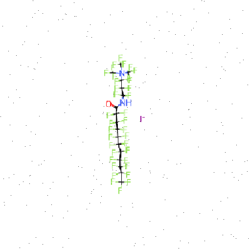 O=C(NC(F)(F)C(F)(F)C(F)(F)[N+](C(F)(F)F)(C(F)(F)F)C(F)(F)F)C(F)(F)C(F)(F)C(F)(F)C(F)(F)C(F)(F)C(F)(F)C(F)(F)C(F)(F)C(F)(F)C(F)(F)F.[I-]